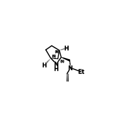 C=CN(CC)C[C@H]1N[C@H]2CC[C@@H]1C2